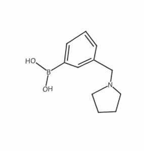 OB(O)c1cccc(CN2CCCC2)c1